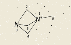 C[N+]12CN(C1)C2